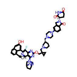 C#Cc1cccc2cc(O)cc(-c3ncc4c(N5CC6CCC(C5)N6)nc(OCC5(CN6CCC[C@H](CN7CCN(c8ccc9c(c8)CN([C@H]8CCC(=O)NC8=O)C9=O)CC7)C6)CC5)nc4c3F)c12